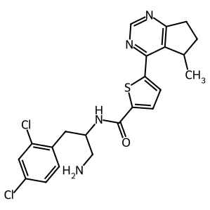 CC1CCc2ncnc(-c3ccc(C(=O)NC(CN)Cc4ccc(Cl)cc4Cl)s3)c21